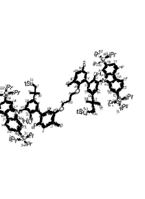 Cc1cc(F)c(-c2cc(C(C)(C)CC(C)(C)C)cc(-n3c4cc([Si](C(C)C)(C(C)C)C(C)C)ccc4c4ccc([Si](C(C)C)(C(C)C)C(C)C)cc43)c2O)cc1OCCCOc1c(C)cc(F)cc1-c1cc(C(C)(C)CC(C)(C)C)cc(-n2c3cc([Si](C(C)C)(C(C)C)C(C)C)ccc3c3ccc([Si](C(C)C)(C(C)C)C(C)C)cc32)c1O